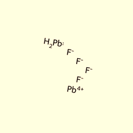 [F-].[F-].[F-].[F-].[Pb+4].[PbH2]